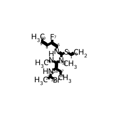 C=CS\C(=N/C=C(F)\C=C/C)N(C)/C(NC)=C(\CC)NC(C)Br